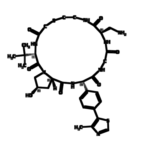 Cc1ncsc1-c1ccc([C@@H]2NC(=O)[C@@H]3C[C@@H](O)CN3C(=O)[C@H](C(C)(C)C)NC(=O)CSCCNC(=O)[C@@H](CN)NC(=O)CNC2=O)cc1